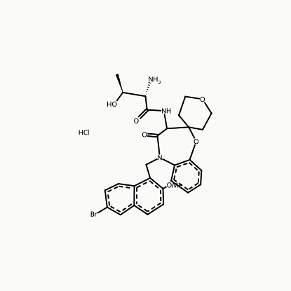 COc1ccc2cc(Br)ccc2c1CN1C(=O)C(NC(=O)[C@@H](N)[C@H](C)O)C2(CCOCC2)Oc2ccccc21.Cl